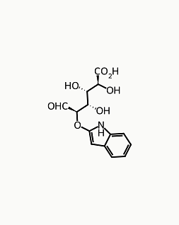 O=C[C@H](Oc1cc2ccccc2[nH]1)[C@@H](O)[C@H](O)[C@H](O)C(=O)O